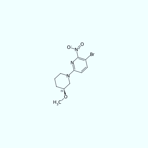 CO[C@H]1CCCN(c2ccc(Br)c([N+](=O)[O-])n2)C1